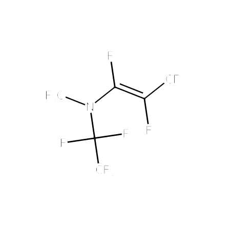 FC(=C(F)C(F)(F)F)N(C(F)(F)F)C(F)(F)C(F)(F)F